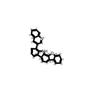 c1ccc2ncc(-c3cccc4c3[nH]c3c4ccc4c5ccccc5oc43)cc2c1